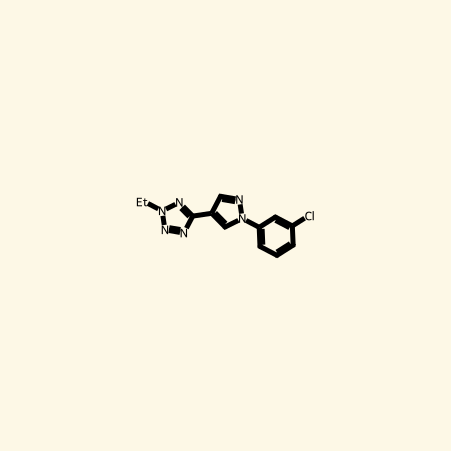 CCn1nnc(-c2cnn(-c3cccc(Cl)c3)c2)n1